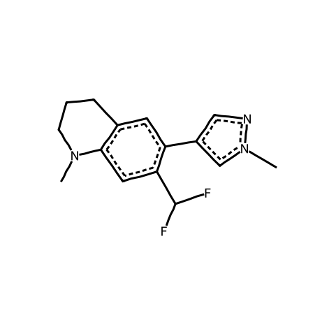 CN1CCCc2cc(-c3cnn(C)c3)c(C(F)F)cc21